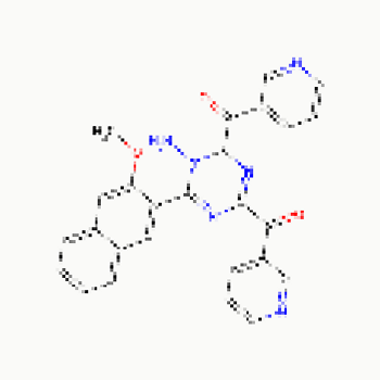 COc1cc2ccccc2cc1C1=NC(C(=O)c2cccnc2)=NC(C(=O)c2cccnc2)N1N